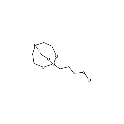 CCSCCC[Si]12OCCN(CCO1)CCO2